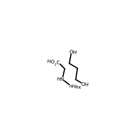 CCCCCCNCC(=O)O.OCCCO